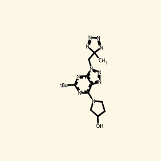 CC1(Cn2nnc3c(N4CCC(O)C4)nc(C(C)(C)C)nc32)N=NN=N1